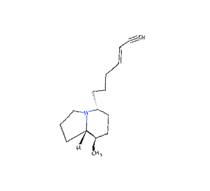 C#C/C=C/CCC[C@@H]1CC[C@@H](C)[C@@H]2CCCN12